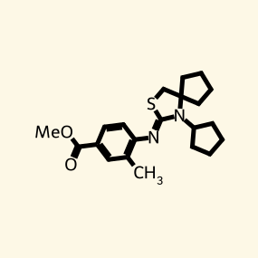 COC(=O)c1ccc(N=C2SCC3(CCCC3)N2C2CCCC2)c(C)c1